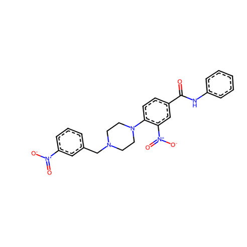 O=C(Nc1ccccc1)c1ccc(N2CCN(Cc3cccc([N+](=O)[O-])c3)CC2)c([N+](=O)[O-])c1